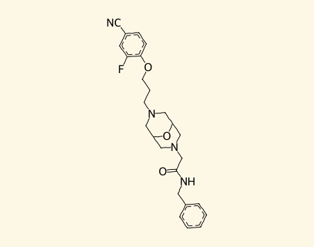 N#Cc1ccc(OCCCN2CC3CN(CC(=O)NCc4ccccc4)CC(C2)O3)c(F)c1